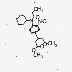 CCCN(c1ccc(C(COC)CC(=O)OC)cc1[N+](=O)[O-])C1CCSCC1